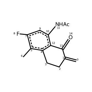 C=C1CCc2c(C)c(F)cc(NC(C)=O)c2C1=O